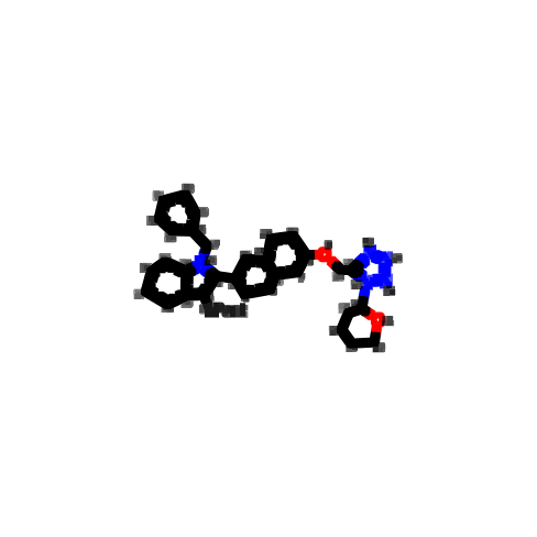 CCCCCc1c(-c2ccc3cc(OCc4nnnn4C4CCCCO4)ccc3c2)n(Cc2ccccc2)c2ccccc12